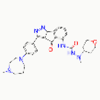 CN1CCCN(c2ccc(C3=C4C(=O)c5c(NC(=O)NN(C)C6CCOCC6)cccc5C4N=N3)cc2)CC1